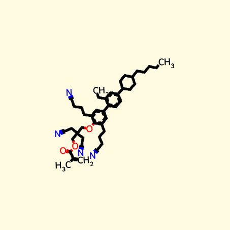 C=C(C)C(=O)OCC(CC#N)(CC#N)COc1c(CCCC#N)cc(-c2ccc(C3CCC(CCCCC)CC3)cc2CC)cc1CCCC#N